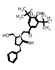 CC(C)(C)c1cc(C(=O)CN2C(=N)[C@@H](Cc3ccccc3)C[C@H]2CO)cc(C(C)(C)C)c1O